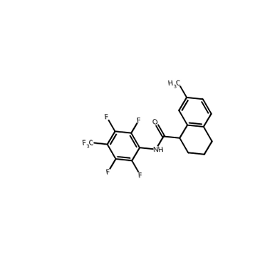 Cc1ccc2c(c1)C(C(=O)Nc1c(F)c(F)c(C(F)(F)F)c(F)c1F)CCC2